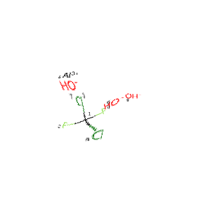 FC(F)(Cl)Cl.[Al+3].[OH-].[OH-].[OH-]